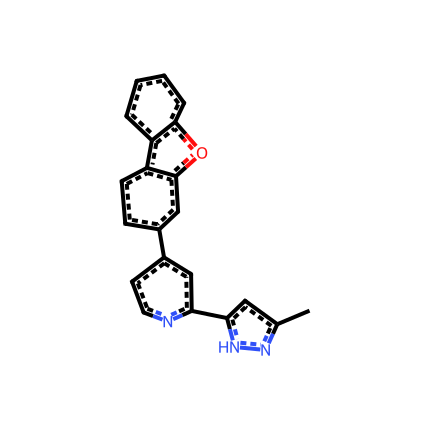 Cc1cc(-c2cc(-c3ccc4c(c3)oc3ccccc34)ccn2)[nH]n1